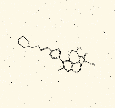 CC1COc2c(-c3ccc(/C=C/CCN4CCCCC4)nc3)c(F)cc3ncc4c(c23)n1c(=O)n4C